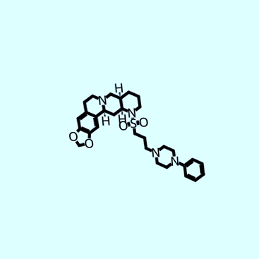 O=S(=O)(CCCN1CCN(c2ccccc2)CC1)N1CCC[C@@H]2CN3CCc4cc5c(cc4[C@@H]3C[C@@H]21)OCO5